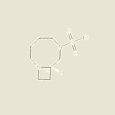 CCS(=O)(=O)N1CCCCN2CC[C@@H]2C1